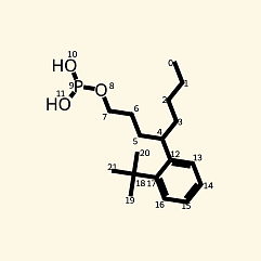 CCCCC(CCCOP(O)O)c1ccccc1C(C)(C)C